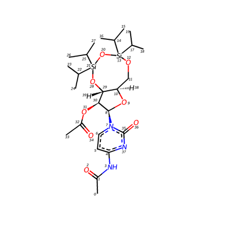 CC(=O)Nc1ccn([C@@H]2O[C@@H]3CO[Si](C(C)C)(C(C)C)O[Si](C(C)C)(C(C)C)O[C@H]3[C@@H]2OC(C)=O)c(=O)n1